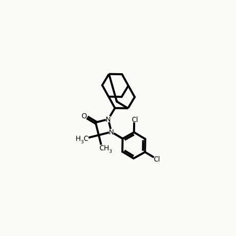 CC1(C)C(=O)N(C2C3CC4CC(C3)CC2C4)N1c1ccc(Cl)cc1Cl